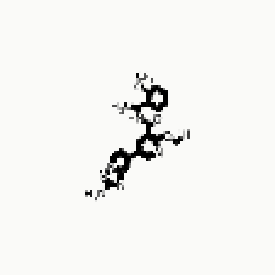 [2H]COc1ncc(-c2ccn3nc(N)nc3c2)cc1C(=O)NC(C)c1ccccc1OC(F)(F)F